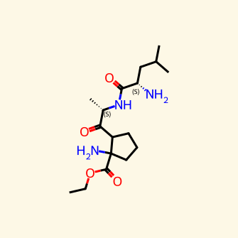 CCOC(=O)C1(N)CCCC1C(=O)[C@H](C)NC(=O)[C@@H](N)CC(C)C